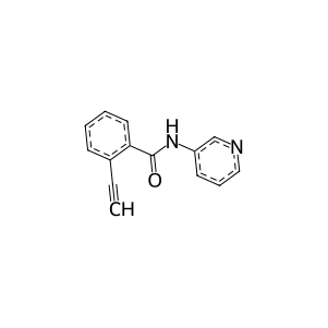 C#Cc1ccccc1C(=O)Nc1cccnc1